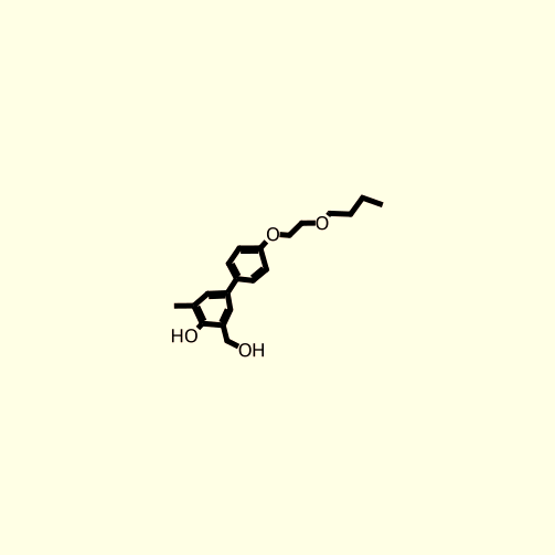 CCCCOCCOc1ccc(-c2cc(C)c(O)c(CO)c2)cc1